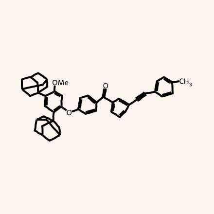 COc1cc(Oc2ccc(C(=O)c3cccc(C#Cc4ccc(C)cc4)c3)cc2)c(C23CC4CC(CC(C4)C2)C3)cc1C12CC3CC(CC(C3)C1)C2